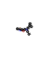 c1ccc(-c2ccc(N(c3ccc(-c4cc5ccccc5c5ccccc45)cc3)c3ccc4c(c3)oc3cc5nc(-c6ccccc6)sc5cc34)cc2)cc1